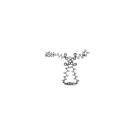 CCCCCCCC/C=C\CCCCCCCC(=O)OCC(COC(=O)CCCCCCC/C=C\CCCCCCCC)(COC(=O)CCCCCCC/C=C\CCCCCCCC)COC(=O)CCCN1CCCC1